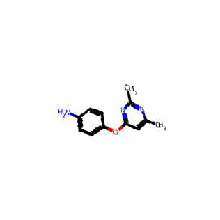 Cc1cc(Oc2ccc(N)cc2)nc(C)n1